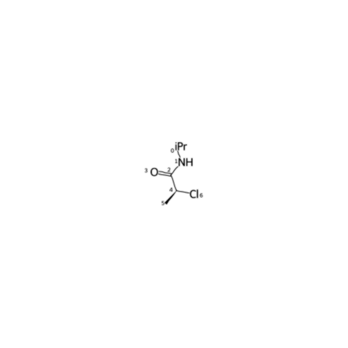 CC(C)NC(=O)[C@H](C)Cl